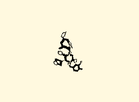 Cc1ccc(CN2C(=O)CN(c3ncc(Cl)cc3C)C(=O)[C@H]2C2COC2)cc1F